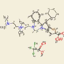 CN(C)CC[N+](C)(C)CCN1CCn2c(c(C3CCCCC3)c3sc(C(=O)O)cc32)-c2ccccc21.O=C([O-])C(F)(F)F